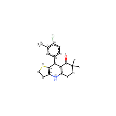 CC1(C)CCC2=C(C1=O)C(c1ccc(Cl)c([N+](=O)[O-])c1)C1=C(CCS1)N2